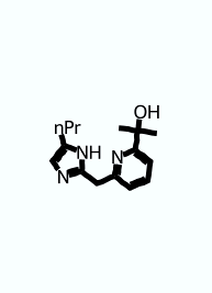 CCCc1cnc(Cc2cccc(C(C)(C)O)n2)[nH]1